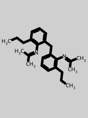 CCCc1cccc(Cc2cccc(CCC)c2N=C(C)C)c1N=C(C)C